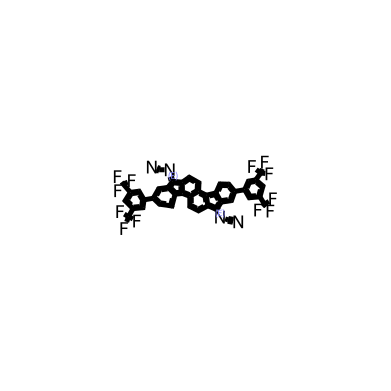 N#C/N=c1\c2cc(-c3cc(C(F)(F)F)cc(C(F)(F)F)c3)ccc2c2c1ccc1c2ccc2/c(=N/C#N)c3cc(-c4cc(C(F)(F)F)cc(C(F)(F)F)c4)ccc3c21